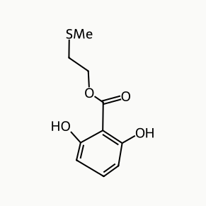 CSCCOC(=O)c1c(O)cccc1O